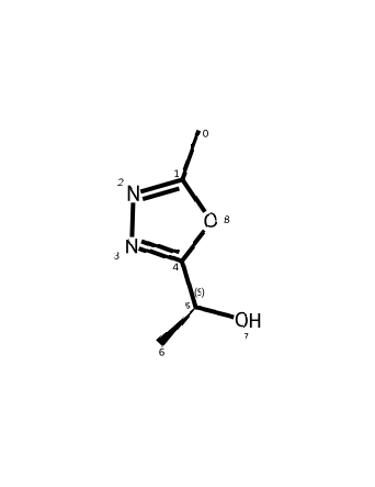 Cc1nnc([C@H](C)O)o1